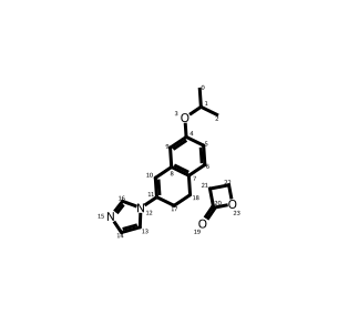 CC(C)Oc1ccc2c(c1)C=C(n1ccnc1)CC2.O=C1CCO1